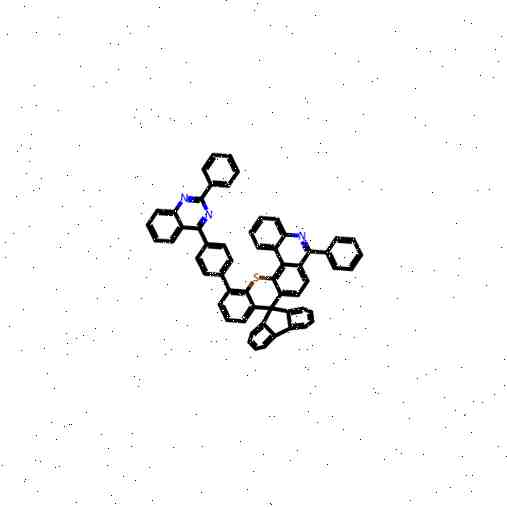 c1ccc(-c2nc(-c3ccc(-c4cccc5c4Sc4c(ccc6c(-c7ccccc7)nc7ccccc7c46)C54c5ccccc5-c5ccccc54)cc3)c3ccccc3n2)cc1